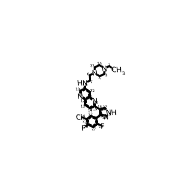 CCN1CCN(CCNc2cnc3ccc(-c4c[nH]nc4-c4cc(Cl)c(F)cc4F)nc3c2)CC1